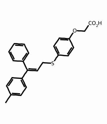 Cc1ccc(C(=CCSc2ccc(OCC(=O)O)cc2)c2ccccc2)cc1